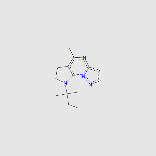 CCC(C)(C)N1CCc2c(C)nc3ccnn3c21